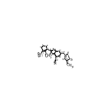 Cc1c(Br)cccc1-c1nc2cc(CN3CC[C@@H](C)C3)cc(C#N)c2o1